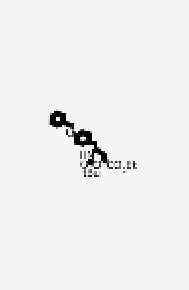 CCOC(=O)C=C[C@H](Cc1ccc(OCc2ccccc2)cc1)NC(=O)OC(C)(C)C